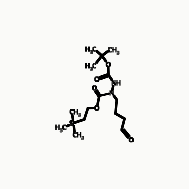 CC(C)(C)OC(=O)NN(CCCC=O)C(=O)OCC[Si](C)(C)C